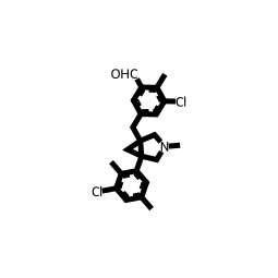 Cc1cc(Cl)c(C)c(C23CN(C)CC2(Cc2cc(Cl)c(C)c(C=O)c2)C3)c1